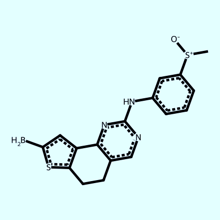 Bc1cc2c(s1)CCc1cnc(Nc3cccc([S+](C)[O-])c3)nc1-2